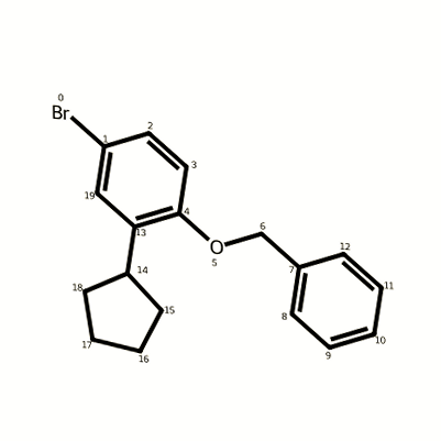 Brc1ccc(OCc2ccccc2)c(C2CCCC2)c1